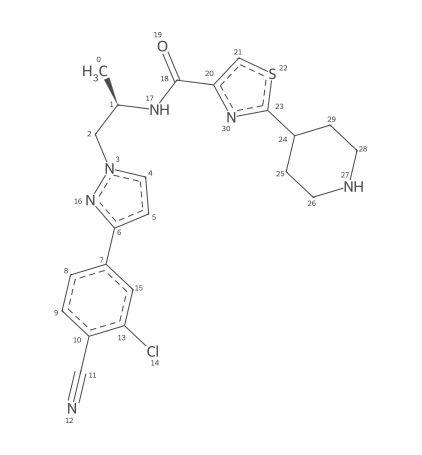 C[C@H](Cn1ccc(-c2ccc(C#N)c(Cl)c2)n1)NC(=O)c1csc(C2CCNCC2)n1